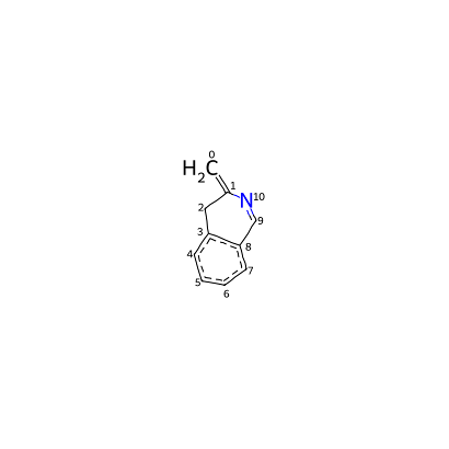 C=C1Cc2ccccc2C=N1